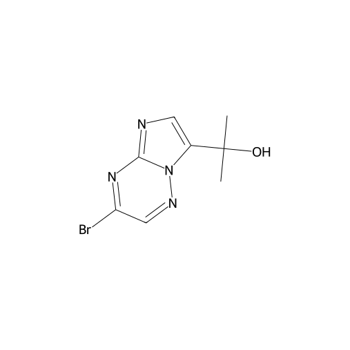 CC(C)(O)c1cnc2nc(Br)cnn12